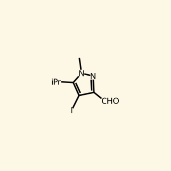 CC(C)c1c(I)c(C=O)nn1C